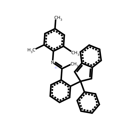 C/C(=N\c1c(C)cc(C)cc1C)c1ccccc1C1(c2ccccc2)C=c2ccccc2=C1